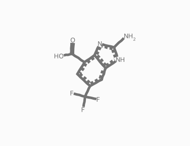 Nc1nc2c(C(=O)O)cc(C(F)(F)F)cc2[nH]1